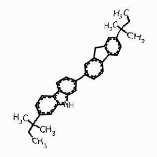 CCC(C)(C)c1ccc2c(c1)Cc1cc(-c3ccc4c(c3)[nH]c3cc(C(C)(C)CC)ccc34)ccc1-2